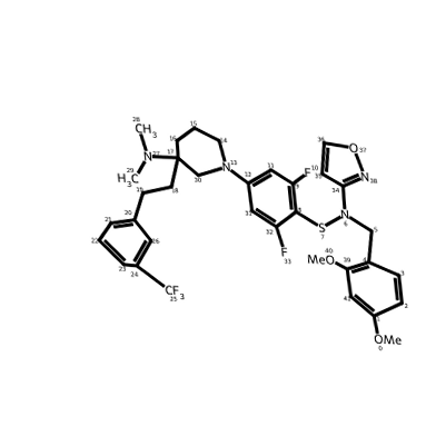 COc1ccc(CN(Sc2c(F)cc(N3CCCC(CCc4cccc(C(F)(F)F)c4)(N(C)C)C3)cc2F)c2ccon2)c(OC)c1